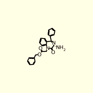 N[C@H]1N=C(c2ccccc2)c2ccccc2N(CC(=O)OCc2ccccc2)C1=O